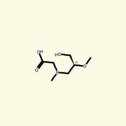 CO[C@H](CO)CN(C)CC(=O)O